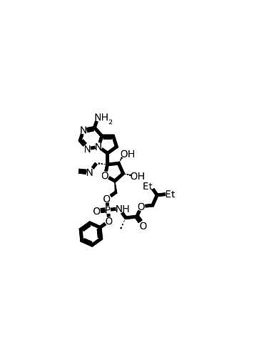 C=NC[C@@]1(C2CC=C3C(N)=NC=NN32)O[C@H](COP(=O)(N[C@@H](C)C(=O)OCC(CC)CC)Oc2ccccc2)[C@@H](O)[C@H]1O